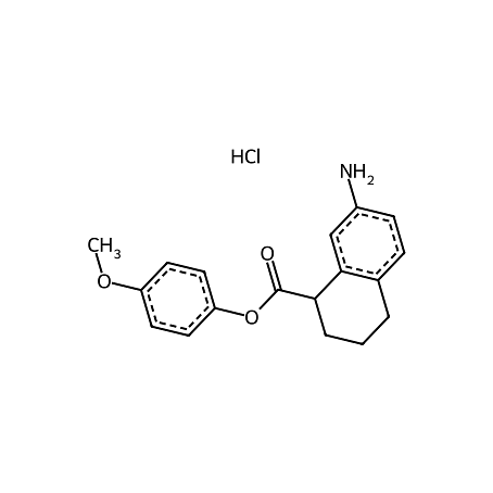 COc1ccc(OC(=O)C2CCCc3ccc(N)cc32)cc1.Cl